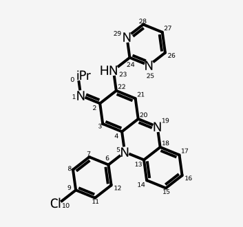 CC(C)N=c1cc2n(-c3ccc(Cl)cc3)c3ccccc3nc-2cc1Nc1ncccn1